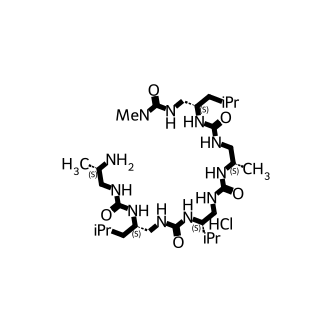 CNC(=O)NC[C@H](CC(C)C)NC(=O)NC[C@H](C)NC(=O)NC[C@@H](NC(=O)NC[C@H](CC(C)C)NC(=O)NC[C@H](C)N)C(C)C.Cl